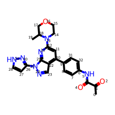 CC(=O)C(=O)Nc1ccc(-c2cc(N3CCOCC3C)nc3c2cnn3-c2cc[nH]n2)cc1